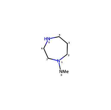 CNN1CCCNCC1